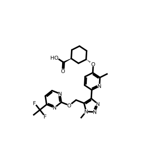 Cc1nc(-c2nnn(C)c2COc2nccc(C(C)(F)F)n2)ccc1O[C@H]1CCC[C@H](C(=O)O)C1